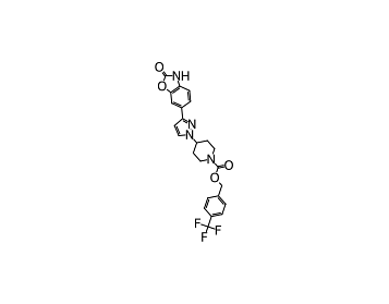 O=C(OCc1ccc(C(F)(F)F)cc1)N1CCC(n2ccc(-c3ccc4[nH]c(=O)oc4c3)n2)CC1